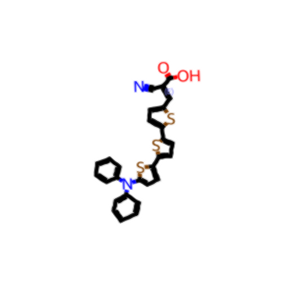 N#C/C(=C\c1ccc(-c2ccc(-c3ccc(N(c4ccccc4)c4ccccc4)s3)s2)s1)C(=O)O